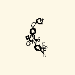 CN1CCC(Oc2ccc(N3C(=S)N(c4ccc(C#N)c(C(F)(F)F)c4)C(=O)C34CCC4)cc2)CC1